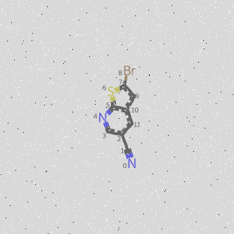 N#Cc1cnc2sc(Br)cc2c1